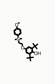 COc1ccc([Si](C)(C)CCOc2cc(C(C)(C)C)c(O)c(C(C)(C)C)c2)cc1